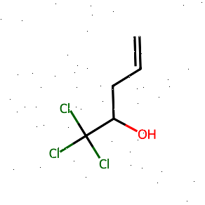 C=CCC(O)C(Cl)(Cl)Cl